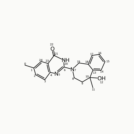 Cc1ccc2nc(N3CCC(C)(O)c4ccccc4C3)[nH]c(=O)c2c1